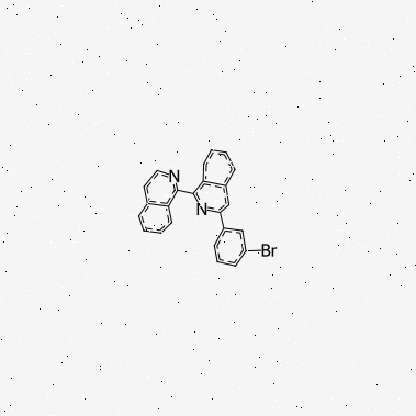 Brc1cccc(-c2cc3ccccc3c(-c3nccc4ccccc34)n2)c1